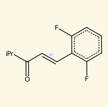 CC(C)C(=O)/C=C/c1c(F)cccc1F